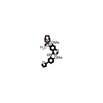 C=CC(=O)N1C2CCC1CC(Oc1cc3c(Nc4cc(-c5ccco5)ccc4OC)ncnc3cc1OC)C2